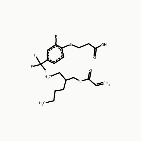 C=CC(=O)OCC(CC)CCCC.O=C(O)CCSc1ccc(C(F)(F)F)cc1F